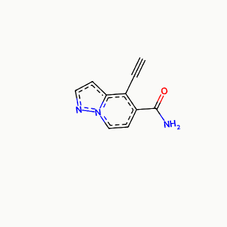 C#Cc1c(C(N)=O)ccn2nccc12